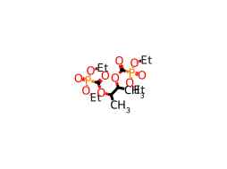 CCOP(=O)(OCC)C(=O)OC(C)C(C)OC(=O)P(=O)(OCC)OCC